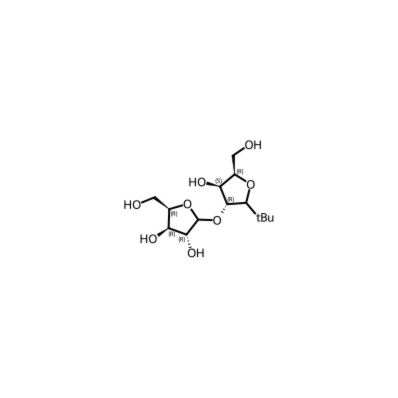 CC(C)(C)C1O[C@H](CO)[C@H](O)[C@H]1OC1O[C@H](CO)[C@H](O)[C@H]1O